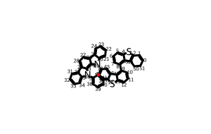 C1=Cc2sc3cccc(-c4cccc5sc6ccc(-n7c8ccccc8c8ccc9c%10ccccc%10n(-c%10ccccc%10)c9c87)cc6c45)c3c2CC1